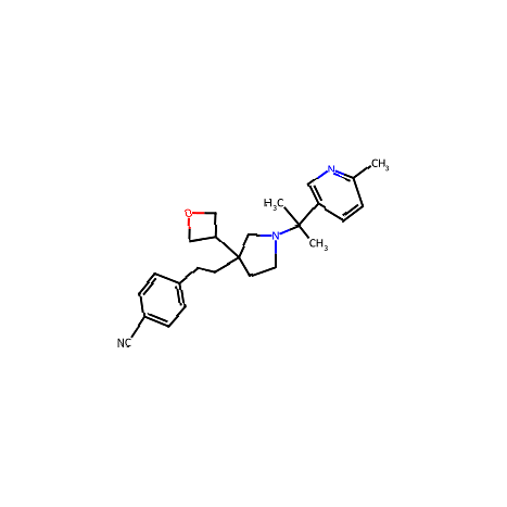 Cc1ccc(C(C)(C)N2CCC(CCc3ccc(C#N)cc3)(C3COC3)C2)cn1